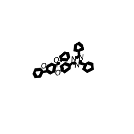 O=P1(c2ccccc2)c2cc(-c3nc(-c4ccccc4)nc(-c4ccccc4)n3)ccc2Oc2cc3c(cc21)oc1ccccc13